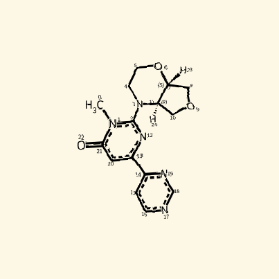 Cn1c(N2CCO[C@@H]3COC[C@H]32)nc(-c2ccncn2)cc1=O